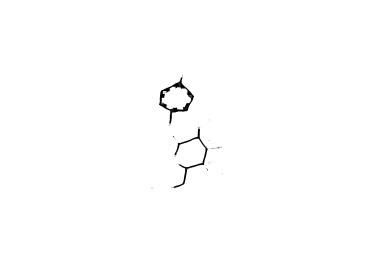 CC(=O)OCC1O[C@@H](Oc2ccc(O)cc2)C(OC(C)=O)[C@@H](C)[C@H]1OC(C)=O